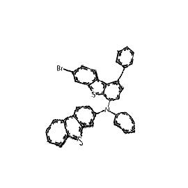 Brc1ccc2c(c1)sc1c(N(c3ccccc3)c3ccc4c(c3)sc3ccccc34)ccc(-c3ccccc3)c12